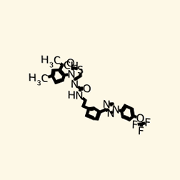 Cc1ccc(N2C(=O)SC/C2=N\C(=O)NCCc2cccc(-c3ncn(-c4ccc(OC(F)(F)F)cc4)n3)c2)c(C(C)C)c1